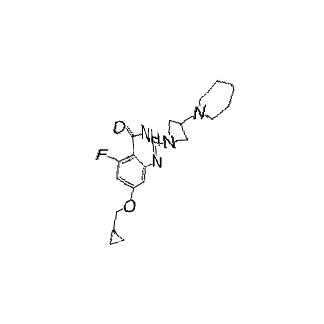 O=c1[nH]c(N2CC(N3CCCCC3)C2)nc2cc(OCC3CC3)cc(F)c12